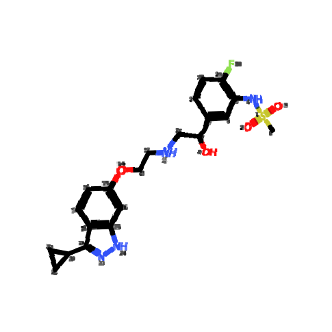 CS(=O)(=O)Nc1cc(C(O)CNCCOc2ccc3c(C4CC4)n[nH]c3c2)ccc1F